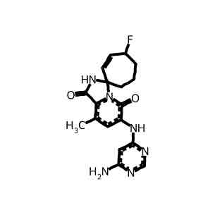 Cc1cc(Nc2cc(N)ncn2)c(=O)n2c1C(=O)NC21C=CC(F)CCC1